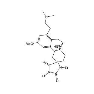 CCN1C(=O)N(CC)C2(CCC3(O)C4Cc5c(CCN(C)C)cc(OC)cc5C3(CCN4)C2)C1=O